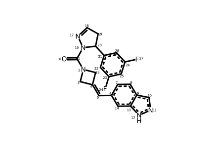 O=C(N1CC(=Cc2ccc3cn[nH]c3c2)C1)N1N=CCC1c1cc(F)cc(F)c1